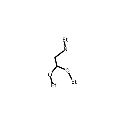 CC[N]CC(OCC)OCC